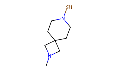 CN1CC2(CCN(S)CC2)C1